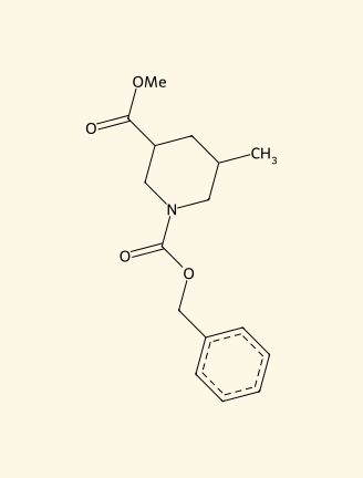 COC(=O)C1CC(C)CN(C(=O)OCc2ccccc2)C1